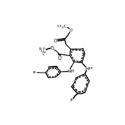 COC(=O)c1ccc(Nc2ccc(F)cc2)c(Nc2ccc(F)cc2)c1C(=O)OC